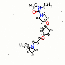 CCN(C)C(=O)N1CCC(Oc2ccc(OCCCN3CCC[C@H]3C)cc2)CC1